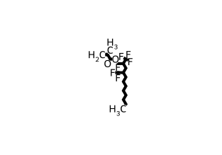 C=C(C)C(=O)OCC(CC(CCCCCCCC)C(F)(F)F)C(F)(F)F